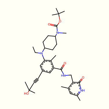 CCN(c1cc(C#CC(C)(C)O)cc(C(=O)NCc2c(C)cc(C)[nH]c2=O)c1C)C1CCC(N(C)C(=O)OC(C)(C)C)CC1